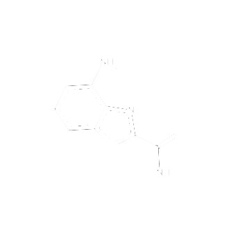 NC(=O)c1nc2c(N)cccc2o1